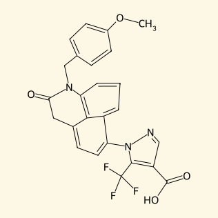 COc1ccc(CN2C(=O)Cc3ccc(-n4ncc(C(=O)O)c4C(F)(F)F)c4cccc2c34)cc1